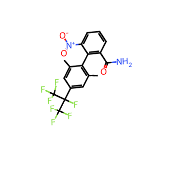 Cc1cc(C(F)(C(F)(F)F)C(F)(F)F)cc(C)c1-c1c(C(N)=O)cccc1[N+](=O)[O-]